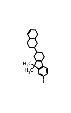 CC1(C)C2=C(CCC(C3CCC4C=CCCC4C3)C2)c2ccc(I)cc21